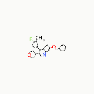 Cc1cc(-c2c(C3CCOCC3)cnc3cc(OCc4ccccc4)ccc23)ccc1F